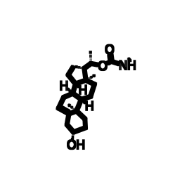 CNC(=O)O[C@@H](C)[C@H]1CC[C@H]2[C@@H]3CC=C4C[C@@H](O)CC[C@]4(C)[C@H]3CC[C@]12C